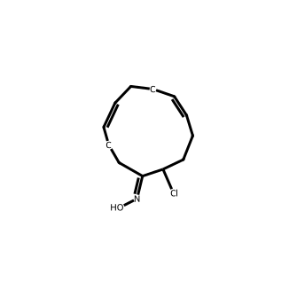 ON=C1CCC=CCCC=CCCC1Cl